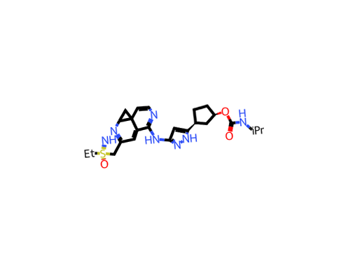 CCS(=N)(=O)CC1=NC2CC23C=CN=C(Nc2cc([C@H]4CC[C@@H](OC(=O)NC(C)C)C4)[nH]n2)C3=C1